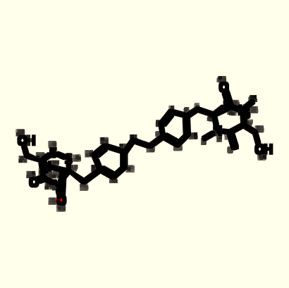 C=C1N(C)C2(Cc3ccc(CCc4ccc(C[C@@]56SS[C@@](CO)(C(=O)N5C)N(C)C6=O)cc4)cc3)SSC1(CO)N(C)C2=O